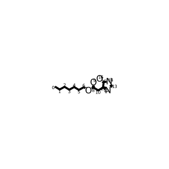 CCCCCCCOC(=O)CC1=NC=NC1=O